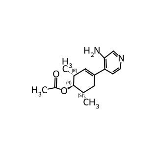 CC(=O)O[C@H]1[C@H](C)C=C(c2ccncc2N)C[C@@H]1C